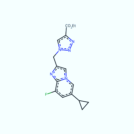 CCOC(=O)c1cn(Cc2cn3cc(C4CC4)cc(F)c3n2)nn1